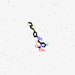 O=C(O)N1CC(F)CC1C(=S)NC1CCC(c2cc3sccc3s2)C1